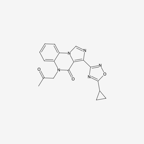 CC(=O)Cn1c(=O)c2c(-c3noc(C4CC4)n3)ncn2c2ccccc21